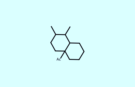 CC(=O)C12CCCCC1C(C)C(C)CC2